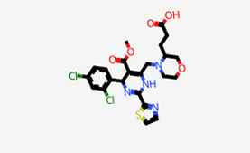 COC(=O)C1=C(CN2CCOCC2CCC(=O)O)NC(c2nccs2)=NC1c1ccc(Cl)cc1Cl